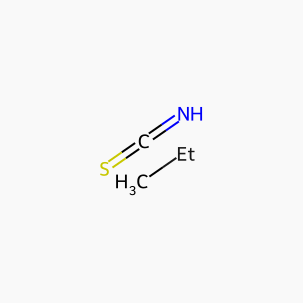 CCC.N=C=S